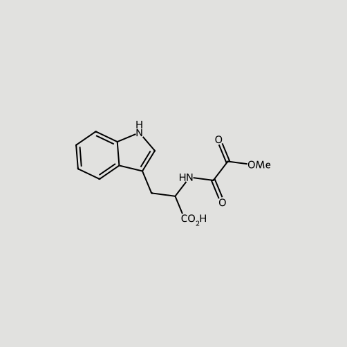 COC(=O)C(=O)NC(Cc1c[nH]c2ccccc12)C(=O)O